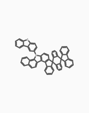 c1ccc2c(c1)-c1ccccc1C21c2ccccc2C2(c3ccccc3-c3c2ccc2c3c3ccc4ccccc4c3n2-c2ccc3sc4ccccc4c3c2)c2ccccc21